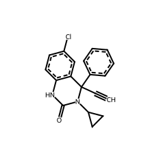 C#CC1(c2ccccc2)c2cc(Cl)ccc2NC(=O)N1C1CC1